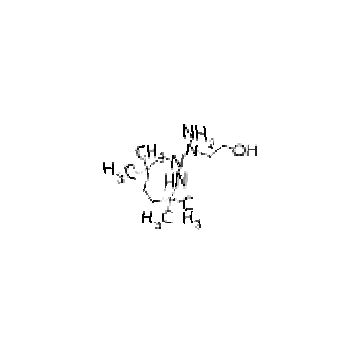 CC1(C)CCC(C)(C)NN(N(N)CCO)C1